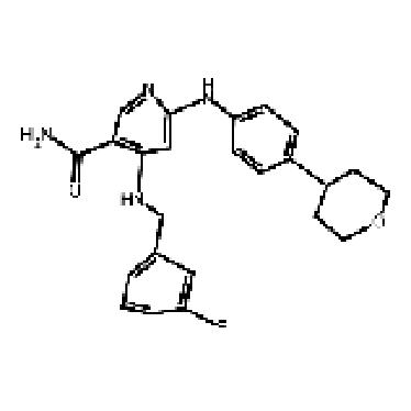 NC(=O)c1cnc(Nc2ccc(C3CCOCC3)cc2)cc1NCc1cccc(F)c1